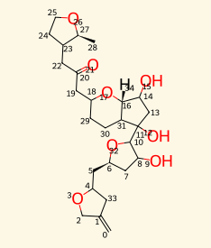 C=C1COC(C[C@@H]2CC(O)C(C3(O)CC(O)[C@H]4OC(CC(=O)CC5CCO[C@H]5C)CCC43)O2)C1